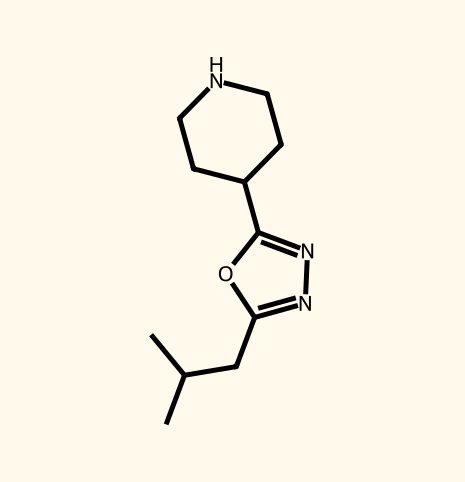 CC(C)Cc1nnc(C2CCNCC2)o1